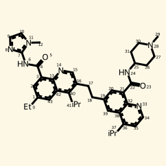 CCc1cc(C(=O)Nc2nccn2C)c2ncc(CCc3cc(C(=O)NC4CCN(C)CC4)c4nccc(C(C)C)c4c3)c(C(C)C)c2c1